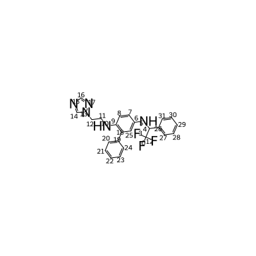 FC(F)(F)C(Nc1ccc(NCCn2cncn2)c(-c2ccccc2)c1)c1ccccc1